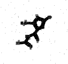 CC(C)C(=O)NC(=O)c1cc(Cl)nn1C